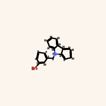 Brc1cccc(Cn2c3ccccc3c3ccccc32)c1